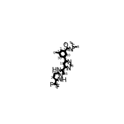 Cc1cc(C(=O)N=S(C)C)cc(-c2cc(-c3cnc(/C=C\C(=N)C(F)F)[nH]3)ncn2)c1